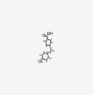 O=C(O)c1ccc(C2CC2c2ccc(Cl)cc2)cc1